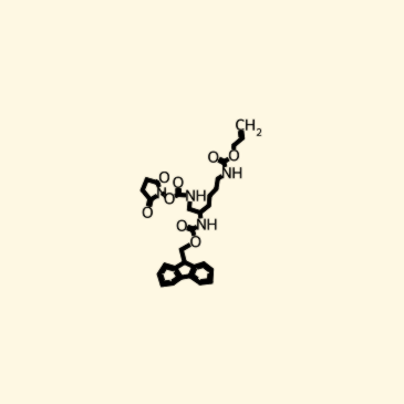 C=CCOC(=O)NCCCCC(CNC(=O)ON1C(=O)CCC1=O)NC(=O)OCC1c2ccccc2-c2ccccc21